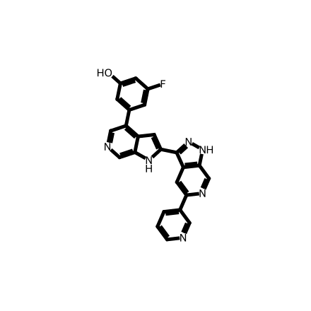 Oc1cc(F)cc(-c2cncc3[nH]c(-c4n[nH]c5cnc(-c6cccnc6)cc45)cc23)c1